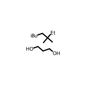 CCC(C)CC(C)(C)CC.OCCCO